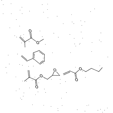 C=C(C)C(=O)OC.C=C(C)C(=O)OCC1CO1.C=CC(=O)OCCCC.C=Cc1ccccc1